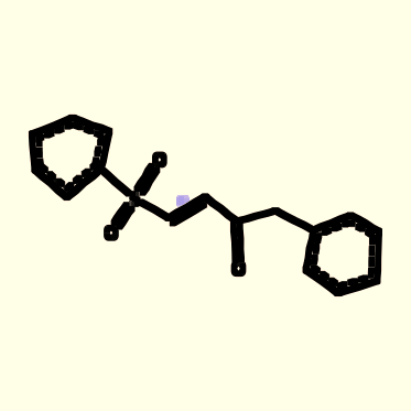 O=C(/C=C/S(=O)(=O)c1ccccc1)Cc1ccccc1